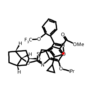 COC(=O)c1cc(OC(C)C)c2nc(O[C@H]3[C@@H]4CC[C@H]3C[C@H](OCc3c(-c5ccccc5OC(F)(F)F)noc3C3CC3)C4)sc2c1